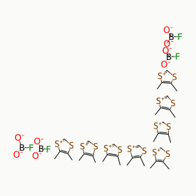 Cc1sc[s+]c1C.Cc1sc[s+]c1C.Cc1sc[s+]c1C.Cc1sc[s+]c1C.Cc1sc[s+]c1C.Cc1sc[s+]c1C.Cc1sc[s+]c1C.Cc1sc[s+]c1C.[O-]B([O-])F.[O-]B([O-])F.[O-]B([O-])F.[O-]B([O-])F